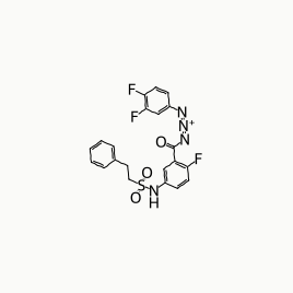 O=C(N=[N+]=Nc1ccc(F)c(F)c1)c1cc(NS(=O)(=O)CCc2ccccc2)ccc1F